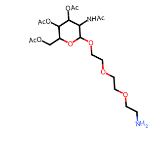 CC(=O)NC1C(OCCOCCOCCN)OC(COC(C)=O)C(OC(C)=O)C1OC(C)=O